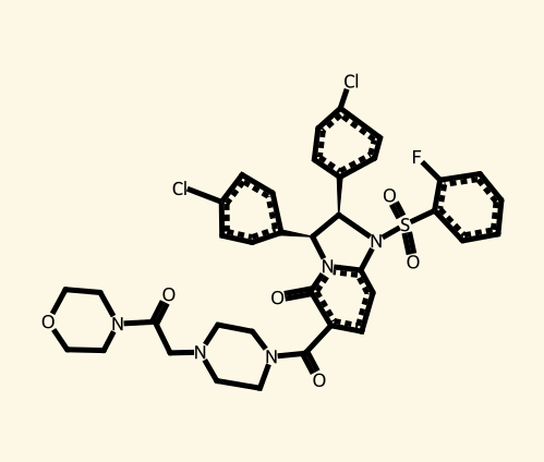 O=C(CN1CCN(C(=O)c2ccc3n(c2=O)[C@@H](c2ccc(Cl)cc2)[C@@H](c2ccc(Cl)cc2)N3S(=O)(=O)c2ccccc2F)CC1)N1CCOCC1